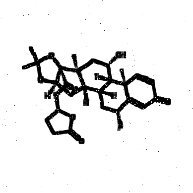 CC1(C)O[C@@H]2C[C@H]3[C@@H]4C[C@H](F)C5=CC(=O)C=C[C@]5(C)[C@@]4(F)[C@@H](O)C[C@]3(C)[C@]2(C(=O)SC2CCC(=O)O2)O1